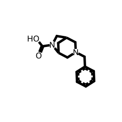 O=C(O)N1CC2CC1CN(Cc1ccccc1)C2